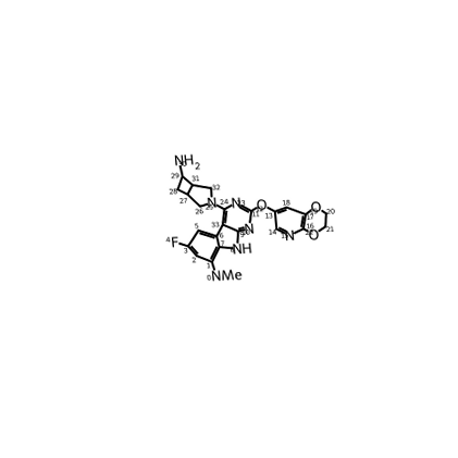 CNc1cc(F)cc2c1[nH]c1nc(Oc3cnc4c(c3)OCCO4)nc(N3CC4CC(N)C4C3)c12